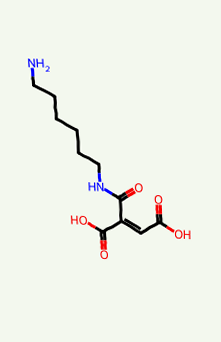 NCCCCCCNC(=O)/C(=C\C(=O)O)C(=O)O